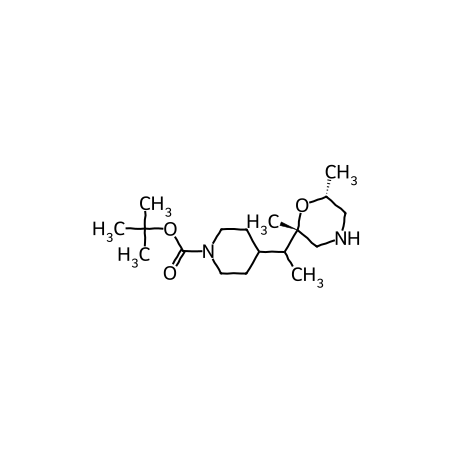 CC(C1CCN(C(=O)OC(C)(C)C)CC1)[C@@]1(C)CNC[C@@H](C)O1